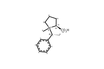 C[C@H](c1ccccc1)[N+]1(C)CCC[C@H]1C(=O)O